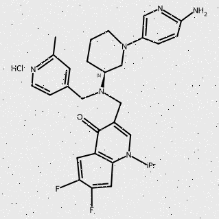 Cc1cc(CN(Cc2cn(C(C)C)c3cc(F)c(F)cc3c2=O)[C@H]2CCCN(c3ccc(N)nc3)C2)ccn1.Cl